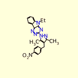 CCn1c2ccccc2c2nnc(-n3nc(C)c(Cc4ccc([N+](=O)[O-])cc4)c3C)nc21